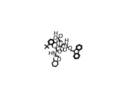 Cc1cccc(C(C)(C)C)c1C[C@H](NC(=O)[C@H](CCC(=O)O)NC(=O)OCC1c2ccccc2-c2ccccc21)C(=O)N[C@H]([C]=O)CC1CCCCC1